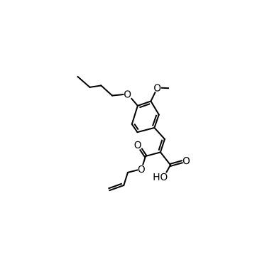 C=CCOC(=O)C(=Cc1ccc(OCCCC)c(OC)c1)C(=O)O